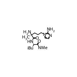 CC[C@H](C)[C@H](NC(=O)[C@@](C)(N)CCCn1ccnc1N)C(=O)NC